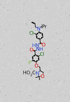 C=CCN(c1ccc(C(=O)NNC(=O)c2cc(F)c(OCC3COC(C)(C)N3C(=O)O)cc2Cl)cc1Cl)C(C)C